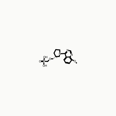 COc1cccc2c(N3CCC[C@@H](COCP(=O)(O)O)C3)ncnc12